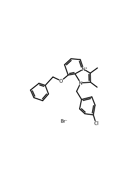 Cc1c(C)[n+]2cccc(OCc3ccccc3)c2n1Cc1ccc(Cl)cc1.[Br-]